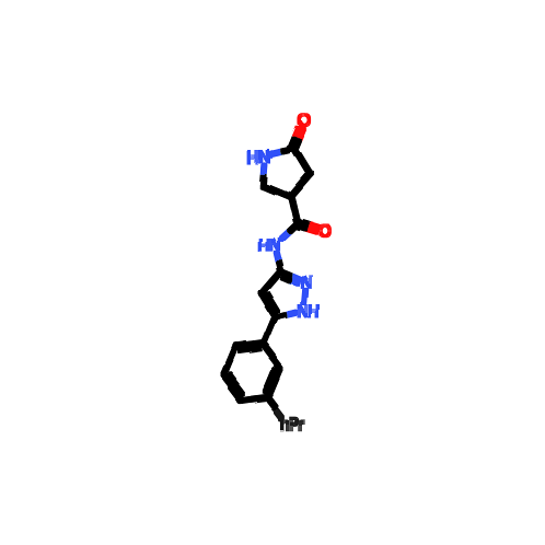 CCCc1cccc(-c2cc(NC(=O)C3CNC(=O)C3)n[nH]2)c1